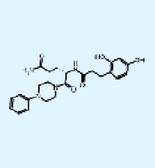 NC(=O)CC[C@H](NC(=O)CCc1ccc(O)cc1O)C(=O)N1CCN(c2ccccc2)CC1